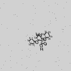 O=C(O)c1c(Oc2ccccc2)cccc1Oc1ccccc1.[LiH]